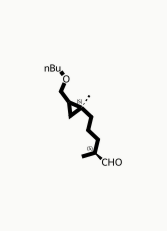 CCCCOCC1C[C@]1(C)CCC[C@H](C)C=O